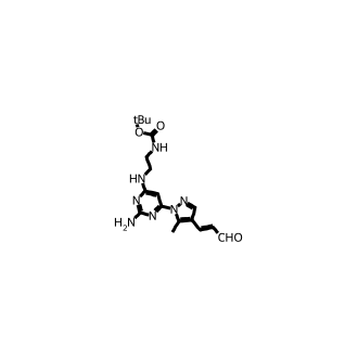 Cc1c(C=CC=O)cnn1-c1cc(NCCNC(=O)OC(C)(C)C)nc(N)n1